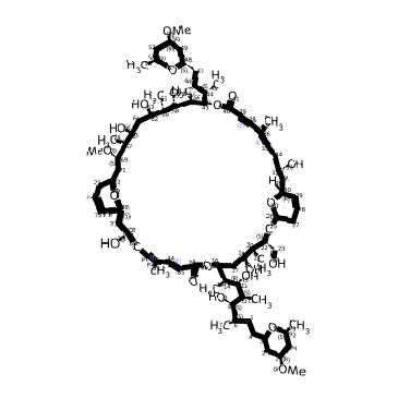 CO[C@H]1CC(CC[C@H](C)[C@H](O)[C@H](C)[C@@H](O)[C@@H](C)C2C[C@H](O)[C@H](C)[C@@H](CO)CC3CC=C[C@@H](C[C@@H](O)C/C=C(C)/C=C/C(=O)O[C@@H]([C@@H](C)CC[C@H]4C[C@H](OC)C[C@H](C)O4)[C@H](C)[C@@H](O)[C@@H](C)[C@H](O)C[C@H](O)[C@H](C)[C@@H](OC)CC4CC=C[C@H](C[C@@H](O)C/C=C(C)/C=C/C(=O)O2)O4)O3)O[C@@H](C)C1